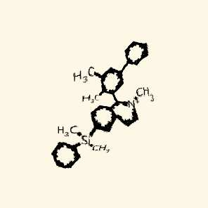 Cc1cc(-c2ccccc2)cc(-c2c3ccc([Si](C)(C)c4ccccc4)cc3cc[n+]2C)c1C